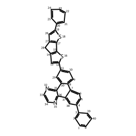 c1ccc(-c2ccc3c4ccc(-c5cc6c(s5)-c5sc(-c7ccccc7)cc5C6)cc4c4nccnc4c3c2)cc1